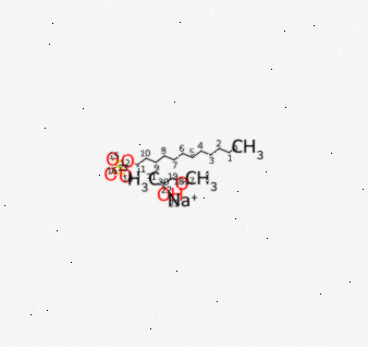 CCCCCCCCCCCCOS(=O)(=O)[O-].COCC(C)O.[Na+]